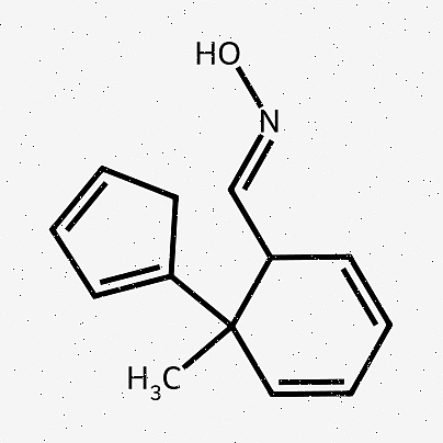 CC1(C2=CC=CC2)C=CC=CC1/C=N/O